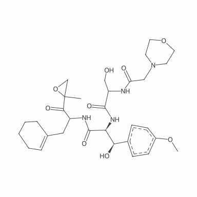 COc1ccc([C@@H](O)[C@H](NC(=O)C(CO)NC(=O)CN2CCOCC2)C(=O)NC(CC2=CCCCC2)C(=O)C2(C)CO2)cc1